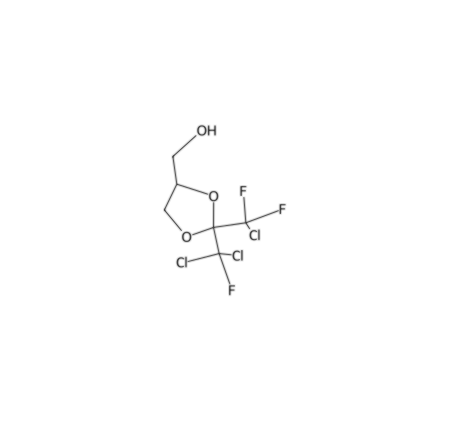 OCC1COC(C(F)(F)Cl)(C(F)(Cl)Cl)O1